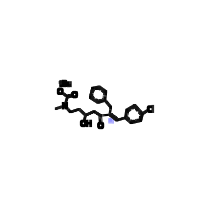 CN(CCC(O)CC(=O)/C(=C/c1ccc(Cl)cc1)Cc1ccccc1)C(=O)OC(C)(C)C